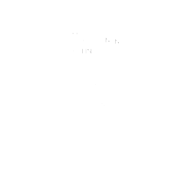 O=S1(=O)CCn2ncc(-c3ccc(Oc4cccc(C(F)(F)F)c4)cc3)c2N1